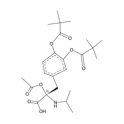 CC(=O)O[C@](Cc1ccc(OC(=O)C(C)(C)C)c(OC(=O)C(C)(C)C)c1)(NC(C)C)C(=O)O